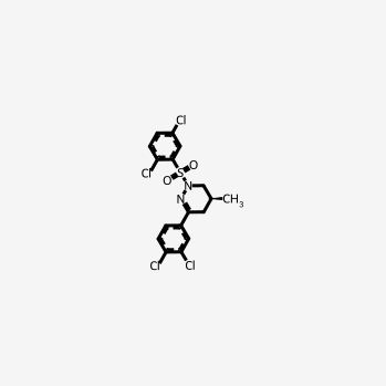 C[C@H]1CC(c2ccc(Cl)c(Cl)c2)=NN(S(=O)(=O)c2cc(Cl)ccc2Cl)C1